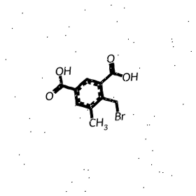 Cc1cc(C(=O)O)cc(C(=O)O)c1CBr